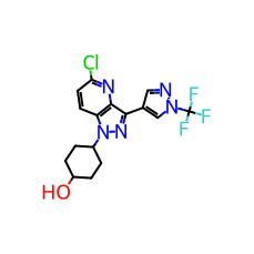 OC1CCC(n2nc(-c3cnn(C(F)(F)F)c3)c3nc(Cl)ccc32)CC1